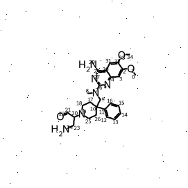 COc1cc2nc(N(C)CC3(c4ccccc4)CCN(C(C=O)CN)CC3)nc(N)c2cc1OC